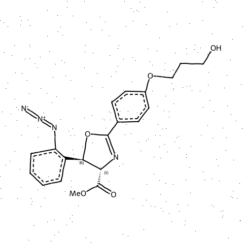 COC(=O)[C@H]1N=C(c2ccc(OCCCO)cc2)O[C@@H]1c1ccccc1N=[N+]=[N-]